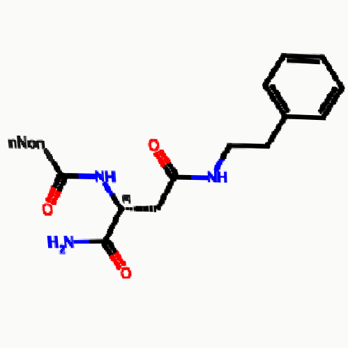 CCCCCCCCCC(=O)N[C@H](CC(=O)NCCc1ccccc1)C(N)=O